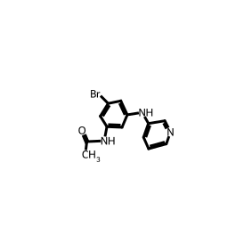 CC(=O)Nc1cc(Br)cc(Nc2cccnc2)c1